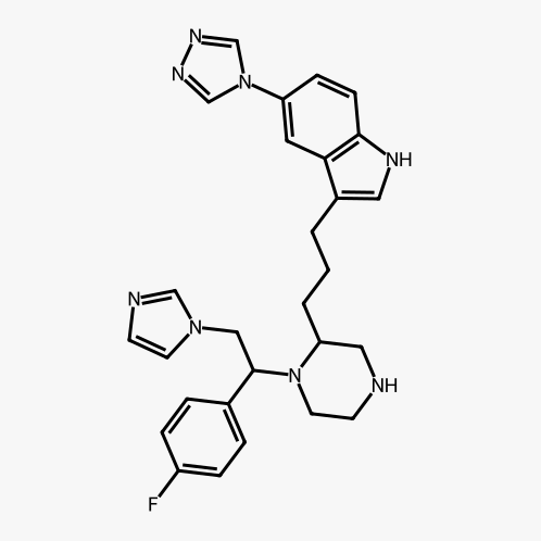 Fc1ccc(C(Cn2ccnc2)N2CCNCC2CCCc2c[nH]c3ccc(-n4cnnc4)cc23)cc1